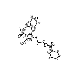 CCc1nn(CCCOC(=O)C2CCCSC2)c2c1C(=O)NCC1(CCOCC1)C2